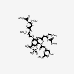 CCCCCCCCCCC[C@H](CC(=O)NC1C(OC(=O)C[C@@H](CCCCCCCCCCC)OC(=O)CCCCCCCCC)[C@H](OP(=O)(O)O)C(CO)O[C@H]1OC[C@@H](NC(=O)C[C@@H](CCCCCCCCCC)OC(=O)CCCCCCCCC)C(=O)O)OC(=O)CCCCCCCCC